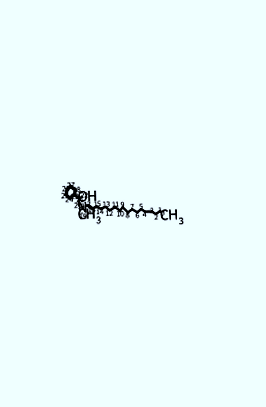 CCCCCCCCCCCCCCCCC=CN(C)CC(O)c1ccccc1